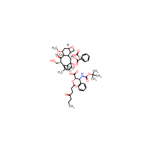 CCCC(=O)CCC(=O)O[C@@H](C(=O)O[C@H]1C[C@@]2(O)[C@@H](OC(=O)c3ccccc3)[C@@H]3[C@]4(OC(C)=O)CO[C@@H]4C[C@H](OC)[C@@]3(C)C(=O)[C@H](CO)C(=C1C)C2(C)C)[C@@H](NC(=O)OC(C)(C)C)c1ccccc1